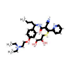 CCCC(NC(=O)/C(C#N)=C(\SCC(O)CO)c1ccccn1)c1ccc(OCCN(CC)CC)cc1